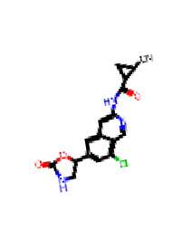 N#CC1CC1C(=O)Nc1cc2cc(C3CNC(=O)O3)cc(Cl)c2cn1